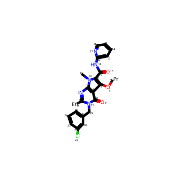 CCc1nc2c(c(OC(C)C)c(C(=O)Nc3ccccn3)n2C)c(=O)n1Cc1cccc(Cl)c1